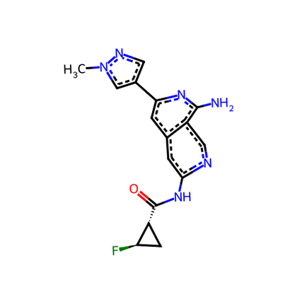 Cn1cc(-c2cc3cc(NC(=O)[C@@H]4C[C@H]4F)ncc3c(N)n2)cn1